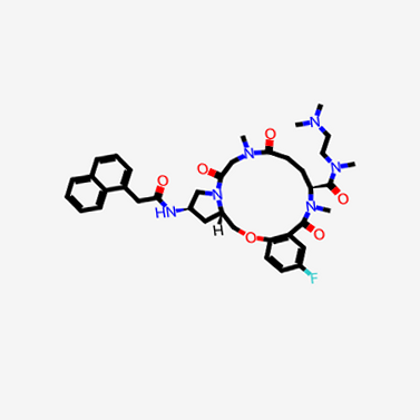 CN(C)CCN(C)C(=O)[C@@H]1CCC(=O)N(C)CC(=O)N2C[C@H](NC(=O)Cc3cccc4ccccc34)C[C@H]2COc2ccc(F)cc2C(=O)N1C